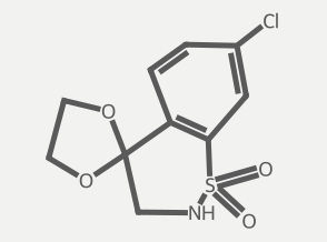 O=S1(=O)NCC2(OCCO2)c2ccc(Cl)cc21